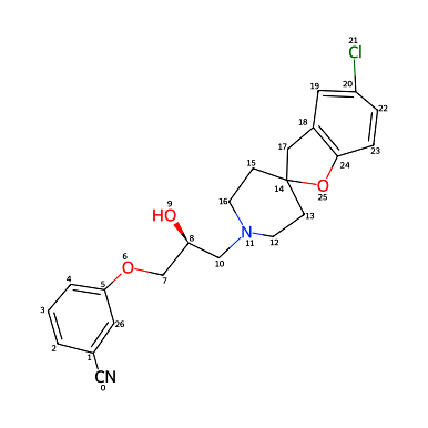 N#Cc1cccc(OC[C@@H](O)CN2CCC3(CC2)Cc2cc(Cl)ccc2O3)c1